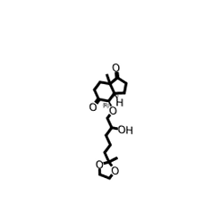 CC1(CCCC(O)CO[C@H]2C(=O)CCC3(C)C(=O)CC[C@@H]23)OCCO1